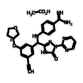 C#Cc1cc(O[C@H]2CCOC2)cc(C(Nc2ccc(C(=N)N)cc2)c2nn(-c3ncccn3)c(=O)[nH]2)c1.CC(=O)O